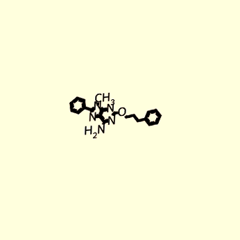 Cn1c(-c2ccccc2)nc2c(N)nc(OCCCc3ccccc3)nc21